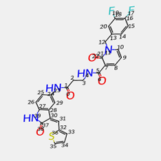 O=C(CCNC(=O)c1cccn(Cc2ccc(F)c(F)c2)c1=O)Nc1ccc2c(c1)C(=Cc1cccs1)C(=O)N2